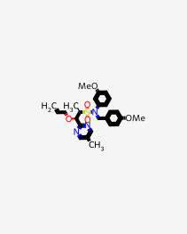 C=CCO[C@H](c1ncc(C)cn1)[C@H](C)S(=O)(=O)N(Cc1ccc(OC)cc1)c1cccc(OC)c1